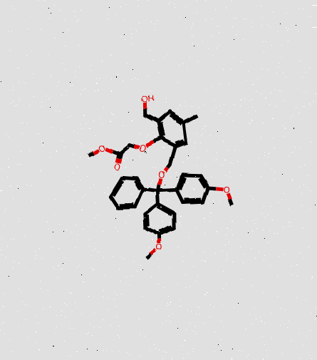 COC(=O)COc1c(CO)cc(C)cc1COC(c1ccccc1)(c1ccc(OC)cc1)c1ccc(OC)cc1